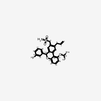 C=CCc1cc2c(cc1CS(N)(=O)=O)C(c1cccc(F)c1)Oc1cccc(OC(F)F)c1-2